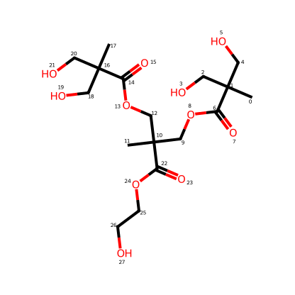 CC(CO)(CO)C(=O)OCC(C)(COC(=O)C(C)(CO)CO)C(=O)OCCO